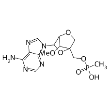 COC1C2OCC1(COP(C)(=O)O)OC2n1cnc2c(N)ncnc21